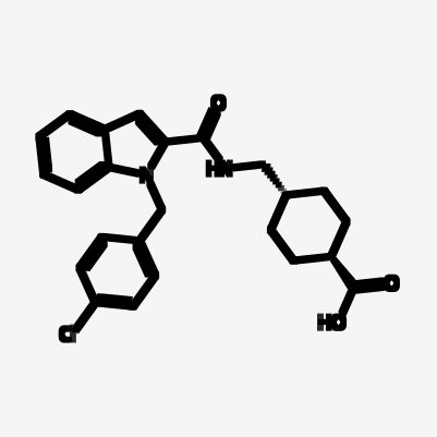 O=C(NC[C@H]1CC[C@H](C(=O)O)CC1)c1cc2ccccc2n1Cc1ccc(Cl)cc1